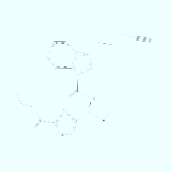 CCOC(=O)c1noc([C@@H](NC(=O)c2nn(CCCC#N)c3ccccc23)C(C)(C)C)n1